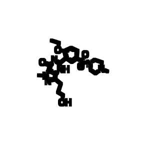 CCOc1ccc(S(=O)(=O)N2CCN(C)CC2)cc1-c1nc(=O)c2c([nH]1)c(CCCO)nn2C